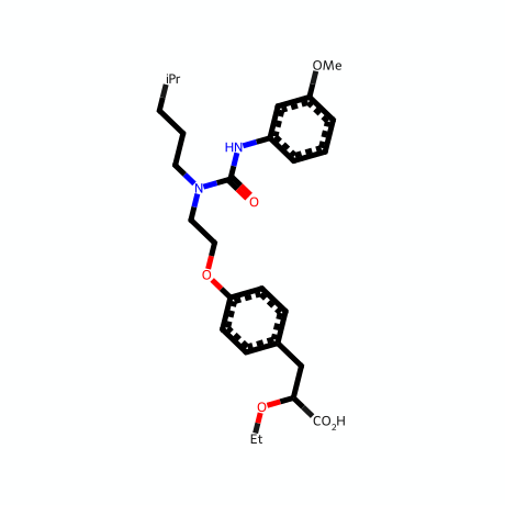 CCOC(Cc1ccc(OCCN(CCCC(C)C)C(=O)Nc2cccc(OC)c2)cc1)C(=O)O